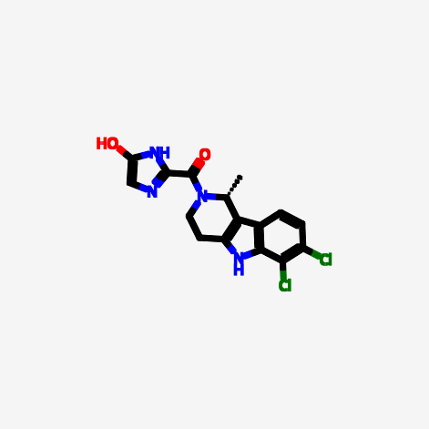 C[C@@H]1c2c([nH]c3c(Cl)c(Cl)ccc23)CCN1C(=O)c1ncc(O)[nH]1